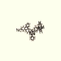 N#Cc1cccc(-c2ccc(-c3nc(-c4ccccc4)nc(-c4ccc(C56C[C@H]7C[C@@H](C5)C[C@@H](C6)C7)cc4)n3)cc2-c2ccccc2)c1